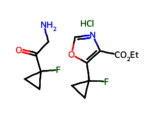 CCOC(=O)c1ncoc1C1(F)CC1.Cl.NCC(=O)C1(F)CC1